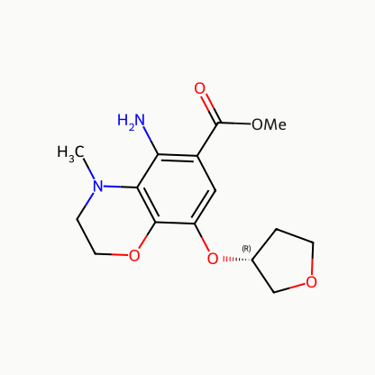 COC(=O)c1cc(O[C@@H]2CCOC2)c2c(c1N)N(C)CCO2